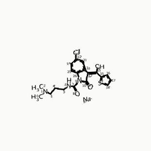 CN(C)CCCNC(=O)N1C(=O)C(=C(O)c2cccs2)c2cc(Cl)ccc21.[Na]